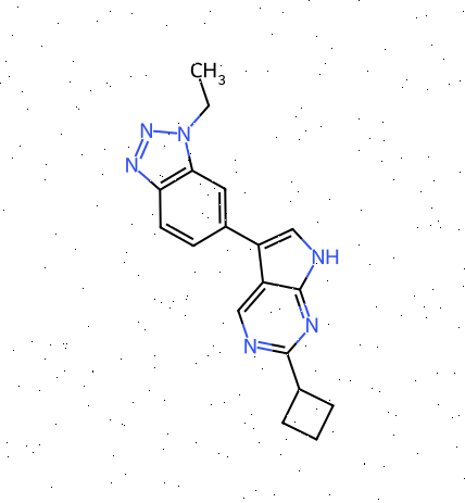 CCn1nnc2ccc(-c3c[nH]c4nc(C5CCC5)ncc34)cc21